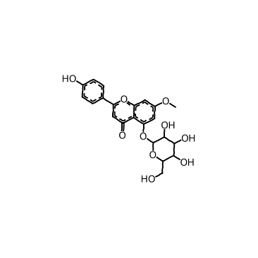 COc1cc(OC2OC(CO)C(O)C(O)C2O)c2c(=O)cc(-c3ccc(O)cc3)oc2c1